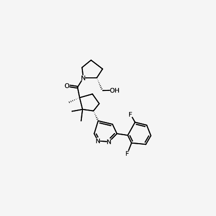 CC1(C)[C@@H](c2cnnc(-c3c(F)cccc3F)c2)CC[C@]1(C)C(=O)N1CCC[C@@H]1CO